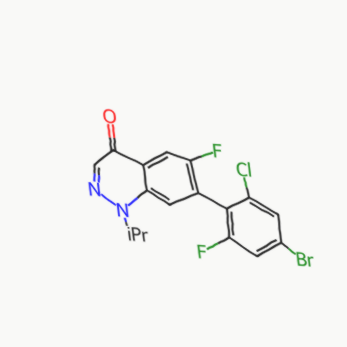 CC(C)n1ncc(=O)c2cc(F)c(-c3c(F)cc(Br)cc3Cl)cc21